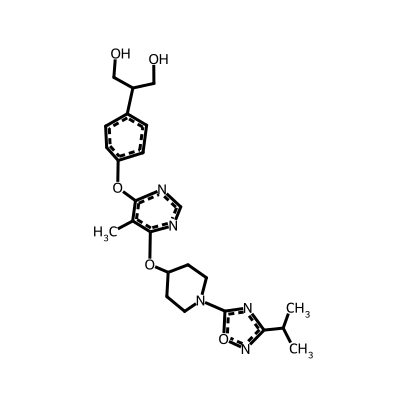 Cc1c(Oc2ccc(C(CO)CO)cc2)ncnc1OC1CCN(c2nc(C(C)C)no2)CC1